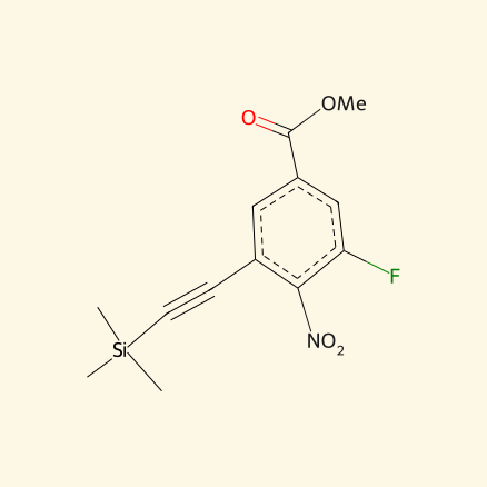 COC(=O)c1cc(F)c([N+](=O)[O-])c(C#C[Si](C)(C)C)c1